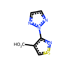 O=C(O)c1csnc1-n1nccn1